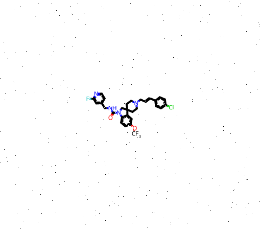 O=C(NCc1ccnc(F)c1)N1CC2(CCN(CC=Cc3ccc(Cl)cc3)CC2)c2cc(OC(F)(F)F)ccc21